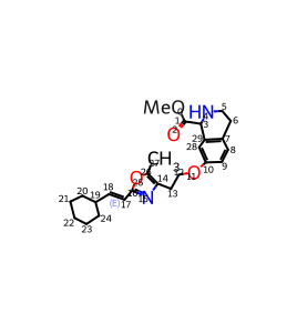 COC(=O)C1NCCc2ccc(OCCc3nc(/C=C/C4CCCCC4)oc3C)cc21